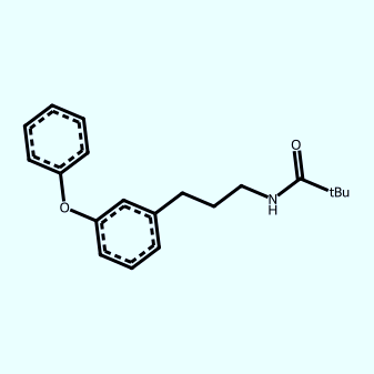 CC(C)(C)C(=O)NCCCc1cccc(Oc2ccccc2)c1